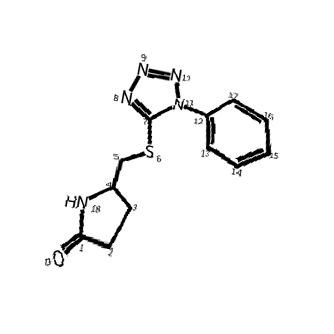 O=C1CCC(CSc2nnnn2-c2ccccc2)N1